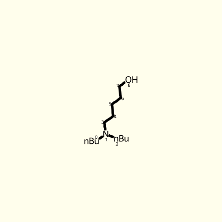 CCCCN(CCCC)CCCCCO